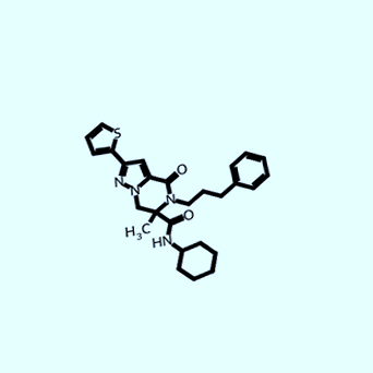 CC1(C(=O)NC2CCCCC2)Cn2nc(-c3cccs3)cc2C(=O)N1CCCc1ccccc1